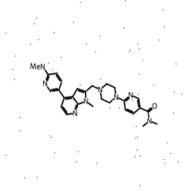 CNc1ccc(-c2ccnc3c2cc(CN2CCN(c4ccc(C(=O)N(C)C)cn4)CC2)n3C)cn1